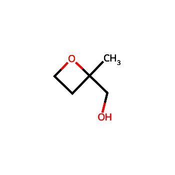 CC1(CO)CCO1